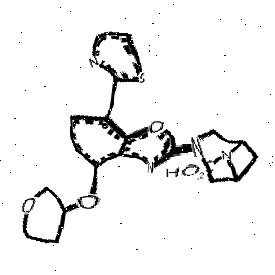 O=C(O)N1C2CC1CN(c1nc3c(OC4CCOC4)ccc(-c4nccs4)c3o1)C2